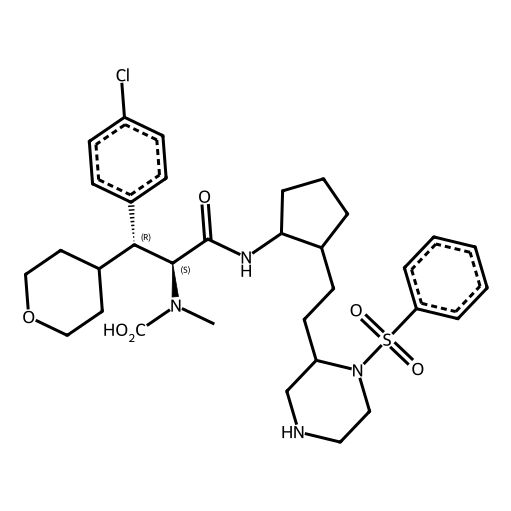 CN(C(=O)O)[C@H](C(=O)NC1CCCC1CCC1CNCCN1S(=O)(=O)c1ccccc1)[C@@H](c1ccc(Cl)cc1)C1CCOCC1